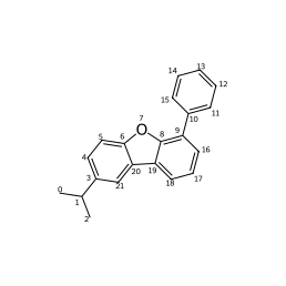 CC(C)c1ccc2oc3c(-c4ccccc4)cccc3c2c1